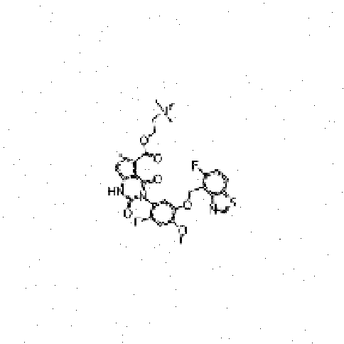 COc1cc(F)c(-n2c(=O)[nH]c3csc(C(=O)OCC[N+](C)(C)C)c3c2=O)cc1OCc1c(F)ccc2scnc12